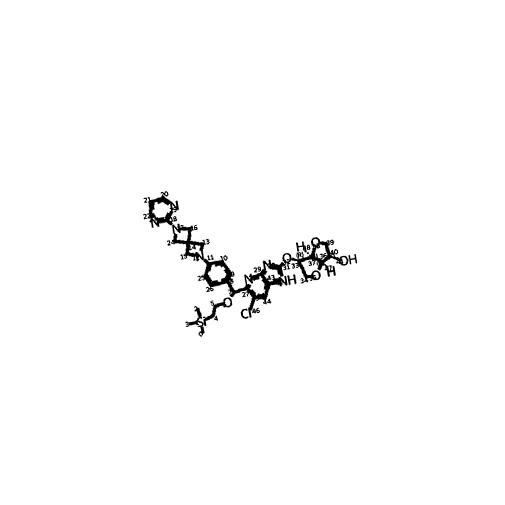 C[Si](C)(C)CCOC(c1ccc(N2CC3(C2)CN(c2ncccn2)C3)cc1)c1nc2nc(O[C@@H]3CO[C@H]4[C@@H]3OC[C@H]4O)[nH]c2cc1Cl